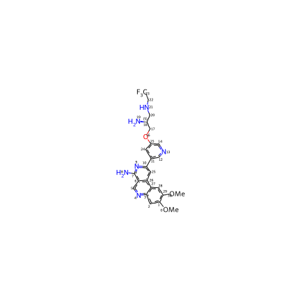 COc1cc2ncc3c(N)nc(-c4cncc(OC[C@@H](N)CNCC(F)(F)F)c4)cc3c2cc1OC